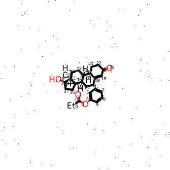 CCC(=O)Oc1ccccc1.C[C@]12CC[C@H]3[C@@H](CCC4=CC(=O)CC[C@@H]43)[C@@H]1CC[C@@H]2O